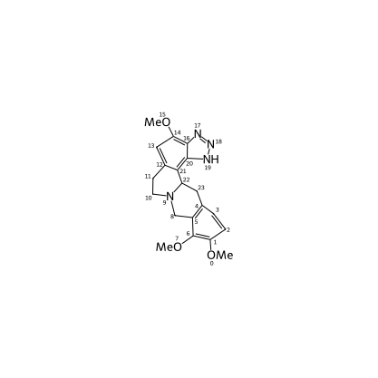 COc1ccc2c(c1OC)CN1CCc3cc(OC)c4nn[nH]c4c3C1C2